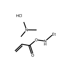 C=CC(=O)ONCC.CN(C)C.Cl